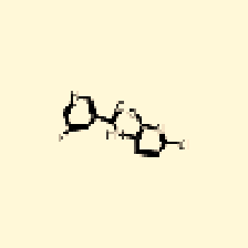 O=C(Nc1ccc(Cl)nc1Cl)c1cncc(F)c1